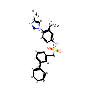 COc1cc(NS(=O)(=O)Cc2cccc(C3=CCCC=C3)c2)ccc1-n1cnc(C)c1